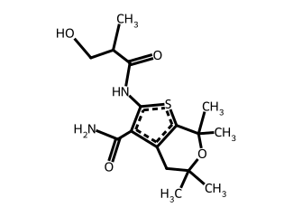 CC(CO)C(=O)Nc1sc2c(c1C(N)=O)CC(C)(C)OC2(C)C